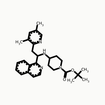 Cc1cnc(CC(NC2CCN(C(=O)OC(C)(C)C)CC2)c2nccc3ccccc23)c(C)c1